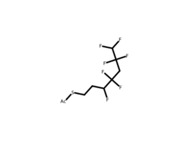 CC(=O)SCCC(F)C(F)(F)CC(F)(F)C(F)F